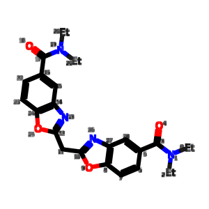 CCN(CC)C(=O)c1ccc2oc(Cc3nc4cc(C(=O)N(CC)CC)ccc4o3)nc2c1